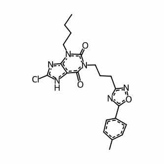 CCCCn1c(=O)n(CCCc2noc(-c3ccc(C)cc3)n2)c(=O)c2[nH]c(Cl)nc21